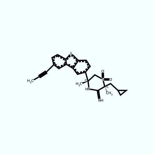 CC#Cc1ccc2sc3ccc([C@]4(C)CS(=O)(=O)[C@@](C)(CC5CC5)C(=N)N4)cc3c2c1